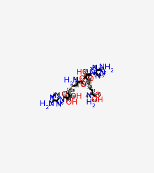 Nc1ncnc2c1ncn2[C@@H]1O[C@H](CSCC[C@H](N)C(=O)O[C@H]2[C@@H](O)[C@H](n3cnc4c(N)ncnc43)O[C@@H]2CSCC[C@H](N)C(=O)O)[C@@H](O)[C@H]1O